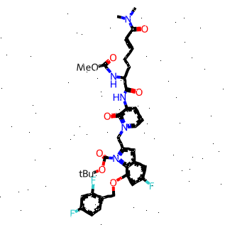 COC(=O)NC(CC/C=C/C(=O)N(C)C)C(=O)Nc1cccn(Cc2cc3cc(F)cc(OCc4ccc(F)cc4F)c3n2C(=O)OC(C)(C)C)c1=O